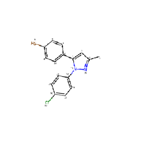 Cc1cc(-c2ccc(S)cc2)n(-c2ccc(Cl)cc2)n1